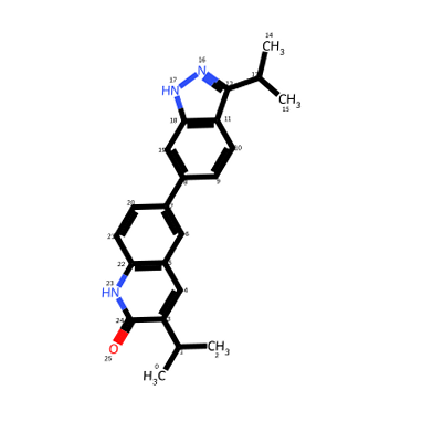 CC(C)c1cc2cc(-c3ccc4c(C(C)C)n[nH]c4c3)ccc2[nH]c1=O